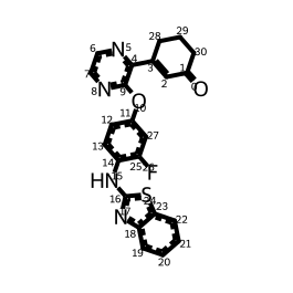 O=C1C=C(c2nccnc2Oc2ccc(Nc3nc4ccccc4s3)c(F)c2)CCC1